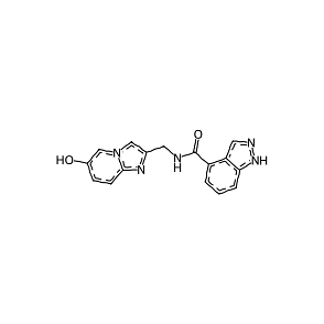 O=C(NCc1cn2cc(O)ccc2n1)c1cccc2[nH]ncc12